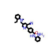 CCc1ccccc1N(C)Cc1cnc(-c2ccc(C(=O)Nc3ccccc3N)cc2)c(C#N)c1